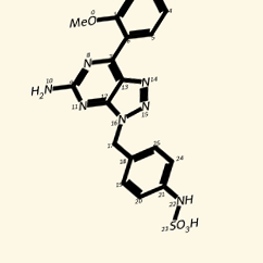 COc1ccccc1-c1nc(N)nc2c1nnn2Cc1ccc(NS(=O)(=O)O)cc1